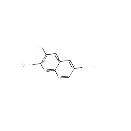 COc1nc2ncc(C(=O)O)cc2cc1Cl